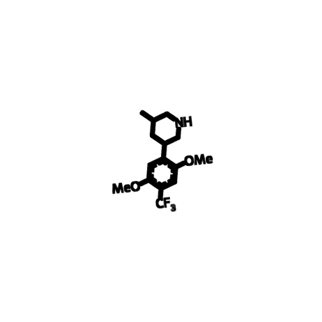 COc1cc(C(F)(F)F)c(OC)cc1C1CNCC(C)C1